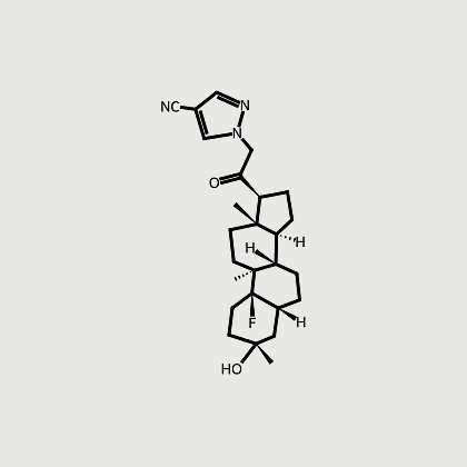 C[C@@]1(O)CC[C@@]2(F)[C@H](CC[C@H]3[C@@H]4CC[C@H](C(=O)Cn5cc(C#N)cn5)[C@@]4(C)CC[C@@]32C)C1